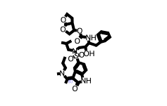 CCCN(C)/C(C)=C1/C(=O)Nc2ccc(S(=O)(=O)N(CC(C)C)CC(O)C(Cc3ccccc3)NC(=O)OC3COC4OCCC34)cc21